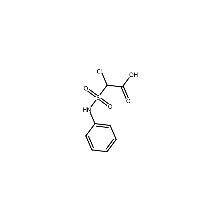 O=C(O)C(Cl)S(=O)(=O)Nc1ccccc1